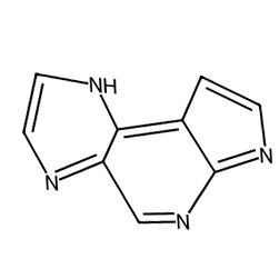 c1c[nH]c2c(cnc3nccc32)n1